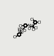 O=C(Nc1nc2cc(Cl)ccc2o1)c1cc(NC(=O)C2C(c3cc(Cl)cc(Cl)c3)C2(Cl)Cl)ccc1Cl